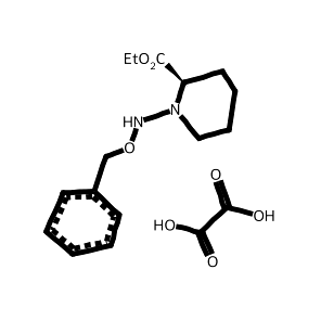 CCOC(=O)[C@H]1CCCCN1NOCc1ccccc1.O=C(O)C(=O)O